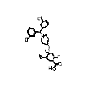 O=C(O)c1cc(C2CC2)c(OCC2CCN(C(c3cccc(Cl)c3)c3cccc(Cl)c3)CC2)cc1F